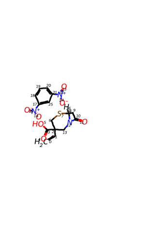 C=CC1(C(=O)O)CS[C@@H]2CC(=O)N2C1.O=[N+]([O-])c1cccc([N+](=O)[O-])c1